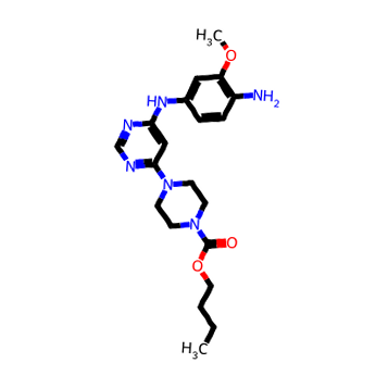 CCCCOC(=O)N1CCN(c2cc(Nc3ccc(N)c(OC)c3)ncn2)CC1